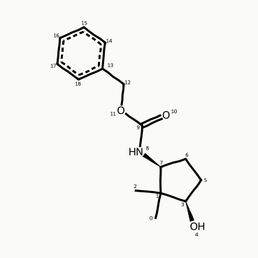 CC1(C)[C@H](O)CC[C@@H]1NC(=O)OCc1ccccc1